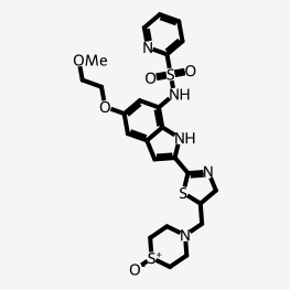 COCCOc1cc(NS(=O)(=O)c2ccccn2)c2[nH]c(C3=NCC(CN4CC[S+]([O-])CC4)S3)cc2c1